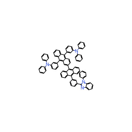 c1ccc(N(c2ccccc2)c2cccc(-c3c4ccccc4c(-c4cccc(N(c5ccccc5)c5ccccc5)c4)c4cc(-c5c6ccccc6c(-c6cccc(-c7nc8ccccc8n7-c7ccccc7)c6)c6ccccc56)ccc34)c2)cc1